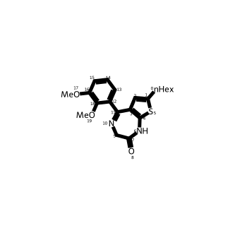 CCCCCCc1cc2c(s1)NC(=O)CN=C2c1cccc(OC)c1OC